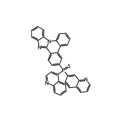 S=P(c1ccc2cccnc2c1)(c1ccc2c(c1)c1ccccc1n1c3ccccc3nc21)c1ccnc2ccccc12